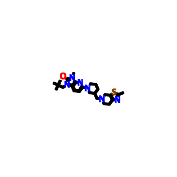 Cc1nc2c(s1)CN(CC1CCCN(c3ccc4c(n3)n(C)c(=O)n4CC(C)(C)C)C1)CC2